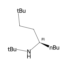 CCCC[C@H](CCC(C)(C)C)NC(C)(C)C